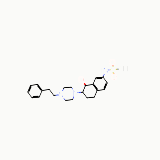 CS(=O)(=O)Nc1ccc2c(c1)C(=O)C(N1CCN(CCc3ccccc3)CC1)CC2